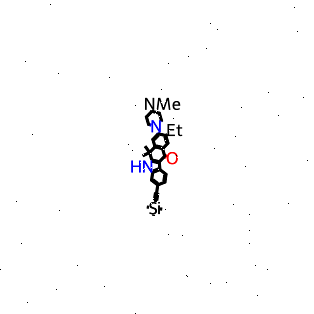 CCc1cc2c(cc1N1CCC(NC)CC1)C(C)(C)c1[nH]c3cc(C#C[Si](C)(C)C)ccc3c1C2=O